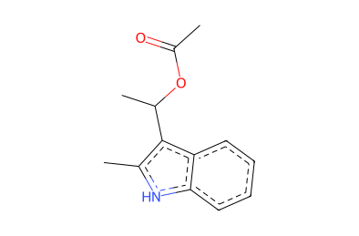 CC(=O)OC(C)c1c(C)[nH]c2ccccc12